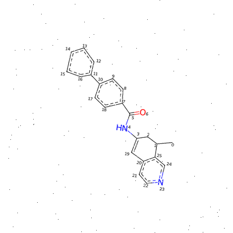 CC1CC(NC(=O)c2ccc(-c3ccccc3)cc2)=Cc2ccncc21